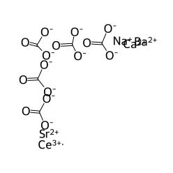 O=C([O-])[O-].O=C([O-])[O-].O=C([O-])[O-].O=C([O-])[O-].O=C([O-])[O-].[Ba+2].[Ca+2].[Ce+3].[Na+].[Sr+2]